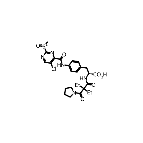 CCC(CC)(C(=O)N[C@@H](Cc1ccc(NC(=O)c2nc([S+](C)[O-])ncc2Cl)cc1)C(=O)O)C(=O)N1CCCC1